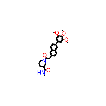 CNC(=O)C1CCCN(C(=O)Cc2ccc3cc(-c4cc(OC)c(OC)c(OC)c4)ccc3c2)C1